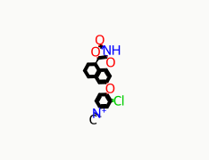 [C-]#[N+]c1ccc(Oc2ccc3c(c2)CCC[C@H]3C2OC(=O)NC2=O)c(Cl)c1